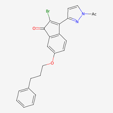 CC(=O)n1ccc(C2=C(Br)C(=O)c3cc(OCCCc4ccccc4)ccc32)n1